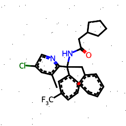 Cc1cc(Cl)cnc1C(Cc1ccccc1)(NC(=O)CC1CCCC1)c1cccc(C(F)(F)F)c1